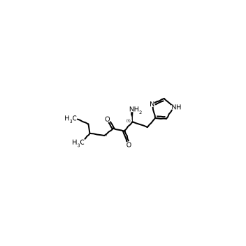 CCC(C)[CH]C(=O)C(=O)[C@@H](N)Cc1c[nH]cn1